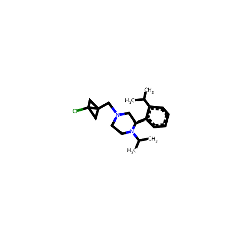 CC(C)c1ccccc1C1CN(CC23CC2(Cl)C3)CCN1C(C)C